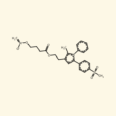 C=[N+]([O-])OCCCC(=O)OCCc1cc(-c2ccc(S(C)(=O)=O)cc2)n(-c2ccccc2)c1C